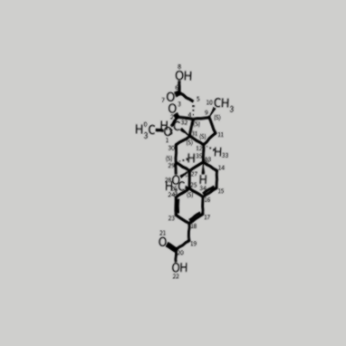 COC(=O)[C@@]1(CC(=O)O)[C@@H](C)C[C@H]2[C@@H]3CC=C4C=C(CC(=O)O)C=C[C@]4(C)[C@@]34O[C@H]4C[C@@]21C